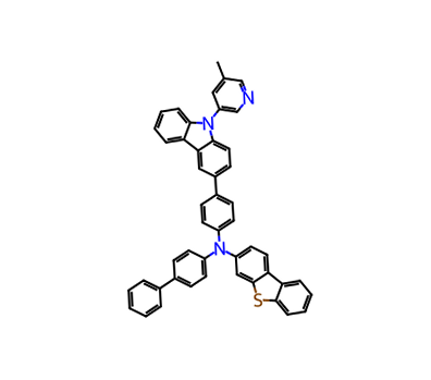 Cc1cncc(-n2c3ccccc3c3cc(-c4ccc(N(c5ccc(-c6ccccc6)cc5)c5ccc6c(c5)sc5ccccc56)cc4)ccc32)c1